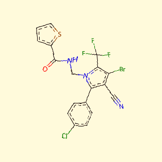 N#Cc1c(Br)c(C(F)(F)F)n(CNC(=O)c2cccs2)c1-c1ccc(Cl)cc1